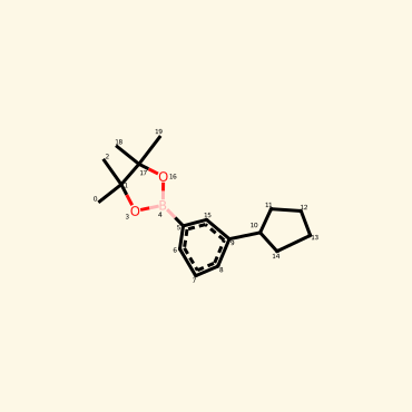 CC1(C)OB(c2cccc(C3CCCC3)c2)OC1(C)C